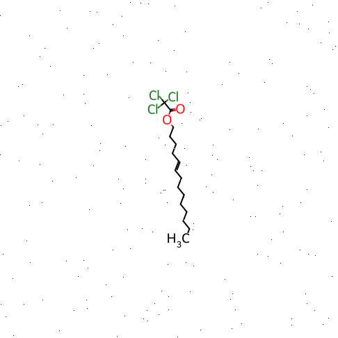 CCCCCCCC/C=C/CCCCOC(=O)C(Cl)(Cl)Cl